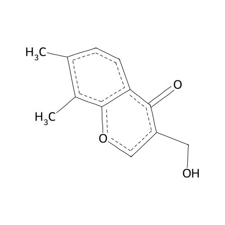 Cc1ccc2c(=O)c(CO)coc2c1C